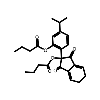 CCCC(=O)Oc1cc(C(C)C)ccc1C1(OC(=O)CCC)C(=O)C2=CCCC=C2C1=O